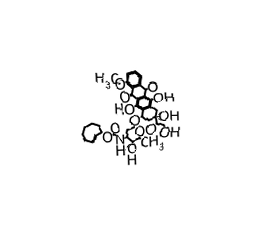 COc1cccc2c1C(=O)c1c(O)c3c(c(O)c1C2=O)C[C@@](O)(C(=O)CO)C[C@@H]3O[C@H]1C[C@H](NC(=O)OC2/C=C/CCCCC2)[C@@H](O)[C@H](C)O1